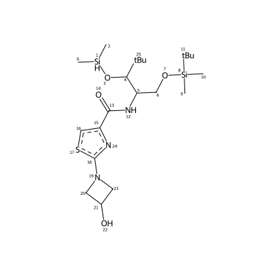 C[SiH](C)OC(C(CO[Si](C)(C)C(C)(C)C)NC(=O)c1csc(N2CC(O)C2)n1)C(C)(C)C